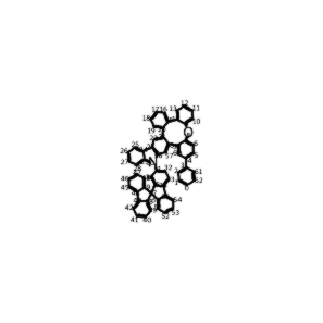 c1ccc(-c2ccc3oc4ccccc4c4ccccc4c4cc5c6ccccc6n(-c6ccc7c(c6)C6(c8ccccc8-c8ccccc86)c6ccccc6-7)c5cc4c3c2)cc1